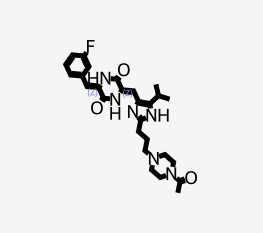 CC(=O)N1CCN(CCCc2nc(/C=c3\[nH]c(=O)/c(=C/c4cccc(F)c4)[nH]c3=O)c(C(C)C)[nH]2)CC1